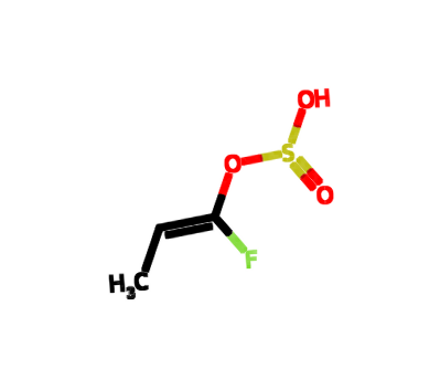 CC=C(F)OS(=O)O